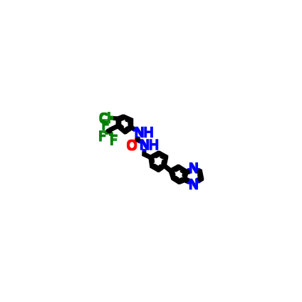 O=C(NCc1ccc(-c2ccc3nccnc3c2)cc1)Nc1ccc(Cl)c(C(F)(F)F)c1